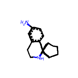 Nc1ccc2c(c1)CCNC21CCCC1